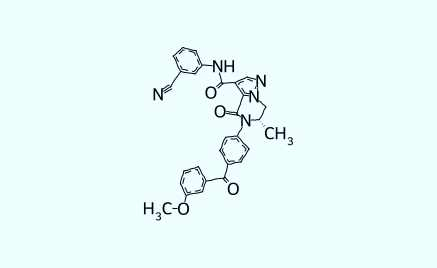 COc1cccc(C(=O)c2ccc(N3C(=O)c4c(C(=O)Nc5cccc(C#N)c5)cnn4C[C@@H]3C)cc2)c1